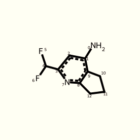 Nc1cc(C(F)F)nc2c1CCC2